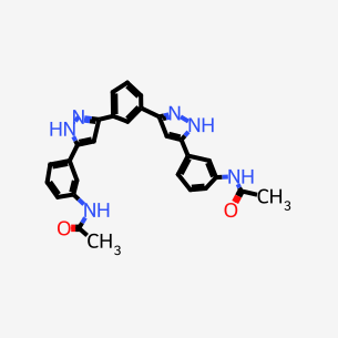 CC(=O)Nc1cccc(-c2cc(-c3cccc(-c4cc(-c5cccc(NC(C)=O)c5)[nH]n4)c3)n[nH]2)c1